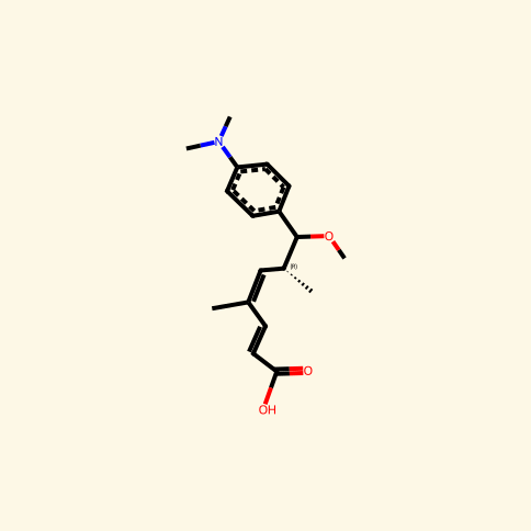 COC(c1ccc(N(C)C)cc1)[C@H](C)C=C(C)C=CC(=O)O